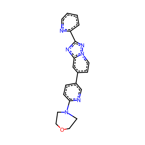 c1ccc(-c2nc3cc(-c4ccc(N5CCOCC5)nc4)ccn3n2)nc1